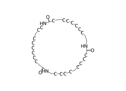 O=C1CCCCCCCCCCNC(=O)CCCCCCCCCCNC(=O)CCCCCCCCCCN1